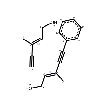 C#C/C(C)=C/CO.C/C(C#Cc1ccccc1)=C\CO